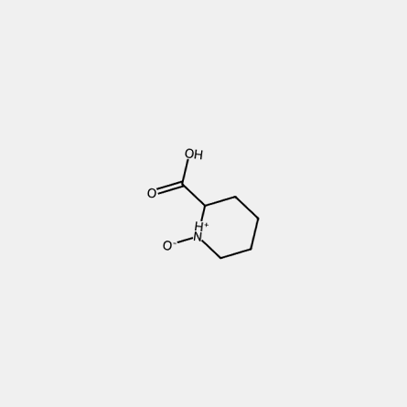 O=C(O)C1CCCC[NH+]1[O-]